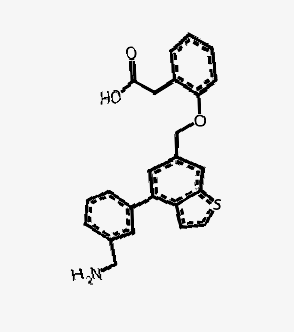 NCc1cccc(-c2cc(COc3ccccc3CC(=O)O)cc3sccc23)c1